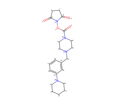 O=C(ON1C(=O)CCC1=O)N1CCN(Cc2cccc(N3CCCCC3)c2)CC1